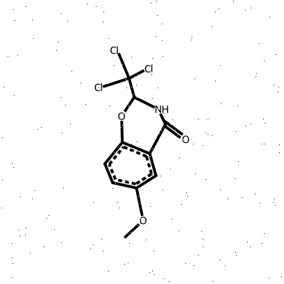 COc1ccc2c(c1)C(=O)NC(C(Cl)(Cl)Cl)O2